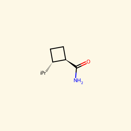 CC(C)[C@@H]1CC[C@H]1C(N)=O